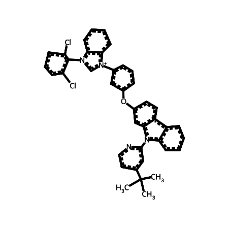 CC(C)(C)c1ccnc(-n2c3ccccc3c3ccc(Oc4cccc(-[n+]5cn(-c6c(Cl)cccc6Cl)c6ccccc65)c4)cc32)c1